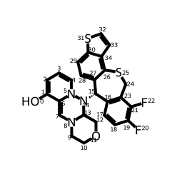 OC1=CC=CN2C1=CN1CCOCC1N2[C@H]1c2ccc(F)c(F)c2CSc2c1ccc1sccc21